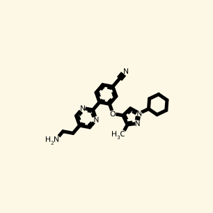 Cc1nn(C2CCCCC2)cc1Oc1cc(C#N)ccc1-c1ncc(CCN)cn1